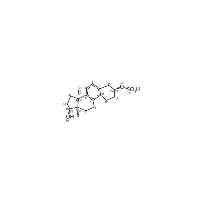 C[C@]12CCc3c(ccc4c3CC[C@H](OS(=O)(=O)O)C4)[C@@H]1CC[C@@H]2O